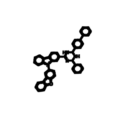 c1ccc(-c2ccc(C3NC(c4ccc5c6ccccc6n(-c6ccc7oc8ccccc8c7c6)c5c4)=NC(c4ccccc4)N3)cc2)cc1